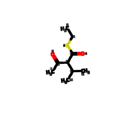 CCSC(=O)C(C(C)=O)C(C)C